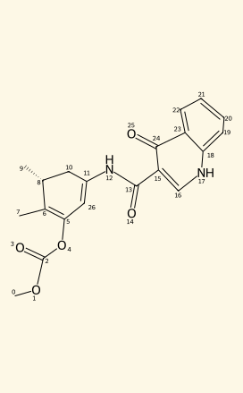 COC(=O)OC1=C(C)[C@H](C)CC(NC(=O)c2c[nH]c3ccccc3c2=O)=C1